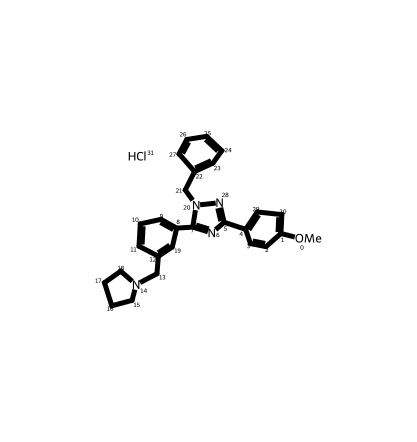 COc1ccc(-c2nc(-c3cccc(CN4CCCC4)c3)n(Cc3ccccc3)n2)cc1.Cl